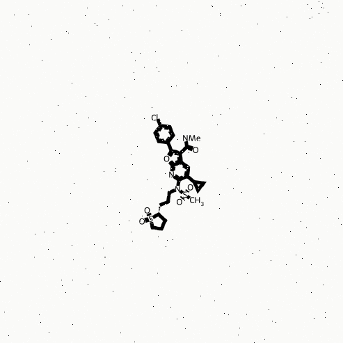 CNC(=O)c1c(-c2ccc(Cl)cc2)oc2nc(N(CCC[C@@H]3CCCS3(=O)=O)S(C)(=O)=O)c(C3CC3)cc12